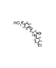 CCc1ccc(N2CC(COc3ccc(C(=O)O)cc3)CC2=O)cc1